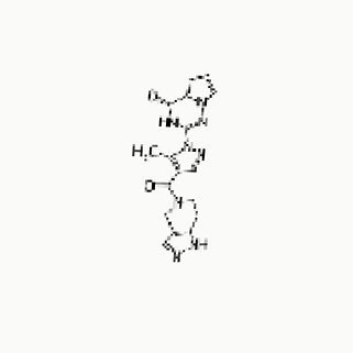 Cc1c(C(=O)N2CCc3[nH]ncc3C2)cnn1-c1nn2cccc2c(=O)[nH]1